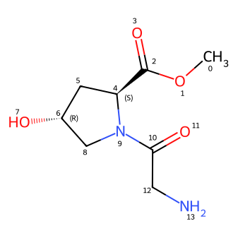 COC(=O)[C@@H]1C[C@@H](O)CN1C(=O)CN